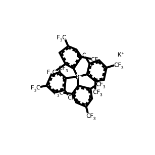 FC(F)(F)c1cc(C(F)(F)F)c([B-](c2c(C(F)(F)F)cc(C(F)(F)F)cc2C(F)(F)F)(c2c(C(F)(F)F)cc(C(F)(F)F)cc2C(F)(F)F)c2c(C(F)(F)F)cc(C(F)(F)F)cc2C(F)(F)F)c(C(F)(F)F)c1.[K+]